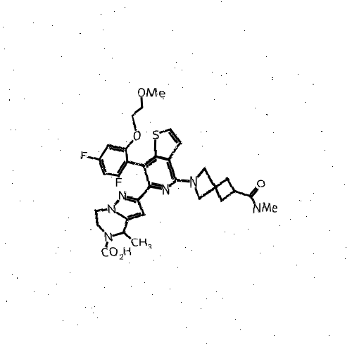 CNC(=O)C1CC2(C1)CN(c1nc(-c3cc4n(n3)CCN(C(=O)O)C4C)c(-c3c(F)cc(F)cc3OCCOC)c3sccc13)C2